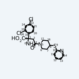 NC(CC(=O)N1CCC(Sc2ccccn2)CC1)(C(=O)O)c1ccc(Cl)cc1Cl